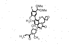 C=CC(=O)N1C[C@H](C)N(c2nc(=O)n3c4c(c(-c5cc(C(OC)OC)c(F)cc5F)c(C)cc24)SCC2(COC2)C3)C[C@H]1C